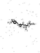 CCCCOC(=O)OC(=O)C(N)CNC(=O)c1cc(OCc2ccc(C(=N)N)cc2)no1